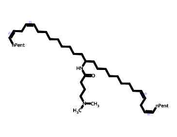 CCCCC/C=C\C/C=C\CCCCCCCCC(CCCCCCCC/C=C\C/C=C\CCCCC)NC(=O)CCCN(C)C